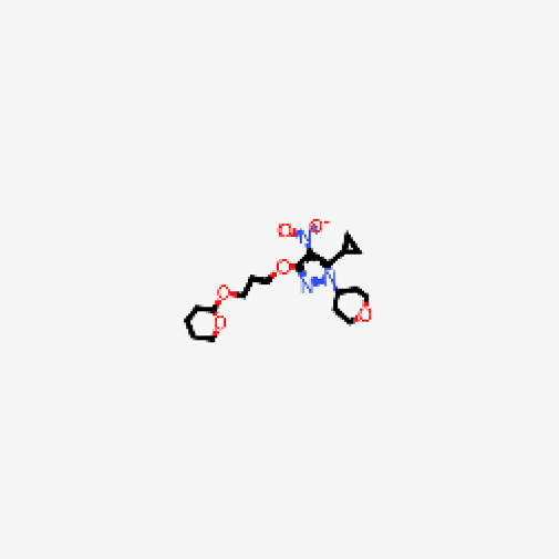 O=[N+]([O-])c1c(OCCCOC2CCCCO2)nn(C2CCOCC2)c1C1CC1